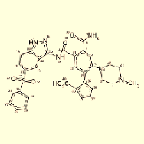 CN1CCN(c2cc(C(N)=O)c(C(=O)Nc3n[nH]c4ccc(S(=O)(=O)c5ccccc5)cc34)cc2-n2cccc2C(=O)O)CC1